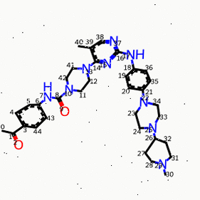 CC(=O)c1ccc(NC(=O)N2CCN(c3nc(Nc4ccc(N5CCN(C6CCN(C)CC6)CC5)cc4)ncc3C)CC2)cc1